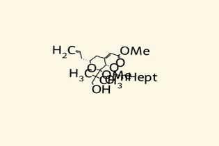 C=CC[C@@H]1C/C(=C/C(=O)OC)[C@H](OC(=O)CCCCCCC)[C@](OC)(C(C)(C)CO)O1